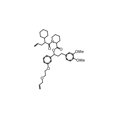 C=CCOCCOc1cccc(C(CCc2ccc(OC)c(OC)c2)OC(=O)C2CCCCN2C(=O)C(CC=C)C2CCCCC2)c1